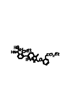 C=C(/C=C\c1c(C)c(COc2ccccc2CC(=O)OCC)nn1C(C)C)c1cccc(C(=N)NO)c1OCC